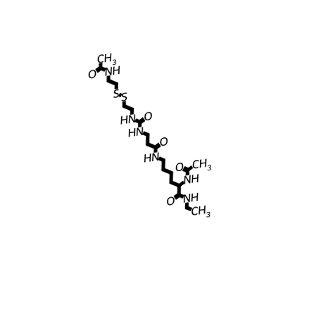 CCNC(=O)C(CCCCNC(=O)CCNC(=O)NCCSSCCNC(C)=O)NC(C)=O